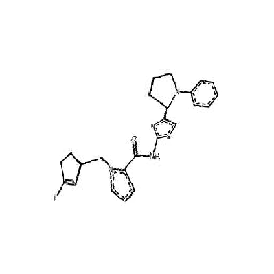 O=C(Nc1nc([C@H]2CCCN2c2ccccc2)cs1)c1cccn1CC1C=C(F)CC1